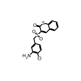 Nc1cc(CS(=O)(=O)c2cc3ccccc3sc2=O)ccc1Cl